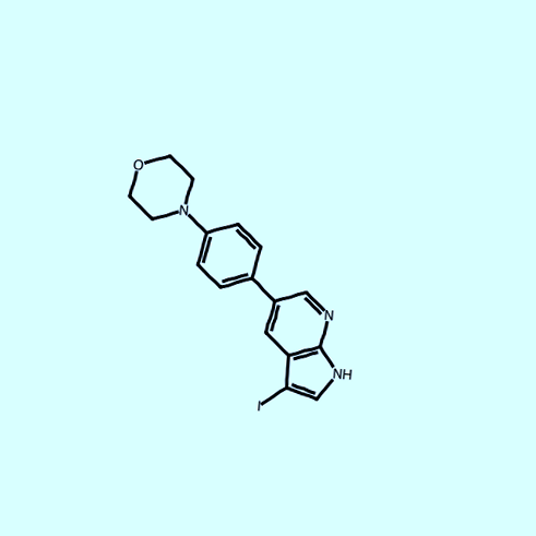 Ic1c[nH]c2ncc(-c3ccc(N4CCOCC4)cc3)cc12